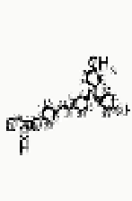 Cc1ccc(N(C2=CC=C(C=Cc3ccc(OCC(O)CO)cc3)CC2)c2ccc(C)cc2)cc1